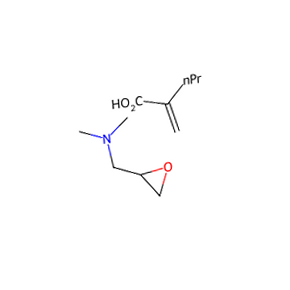 C=C(CCC)C(=O)O.CN(C)CC1CO1